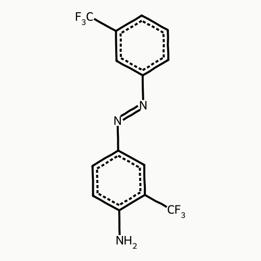 Nc1ccc(N=Nc2cccc(C(F)(F)F)c2)cc1C(F)(F)F